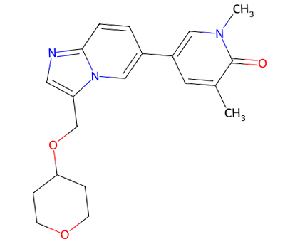 Cc1cc(-c2ccc3ncc(COC4CCOCC4)n3c2)cn(C)c1=O